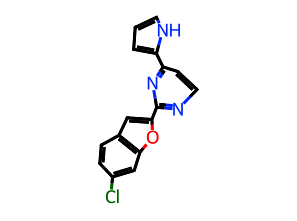 Clc1ccc2cc(-c3nccc(-c4ccc[nH]4)n3)oc2c1